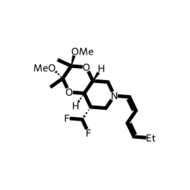 CC/C=C\C=C/N1C[C@H](C(F)F)[C@H]2O[C@](C)(OC)[C@@](C)(OC)O[C@@H]2C1